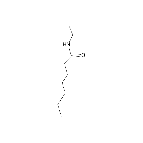 CCCCC[CH]C(=O)NCC